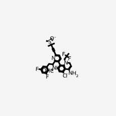 C[S+]([O-])C(C)(C)C#Cc1ccc(-c2ccc(Cl)c3c2N(CC(C)(F)F)CC=C3N)c(C(Cc2cc(F)cc(F)c2)NC=O)n1